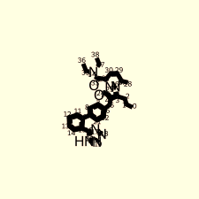 CCCc1c(Cc2ccc(-c3ccccc3-c3nnn[nH]3)cc2)c(=O)n2n1C(C)C=CC2C(=O)N(CC)CC